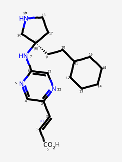 O=C(O)/C=C/c1cnc(N[C@]2(CCC3CCCCC3)CCNC2)cn1